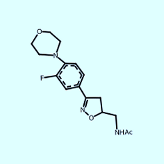 CC(=O)NCC1CC(c2ccc(N3CCOCC3)c(F)c2)=NO1